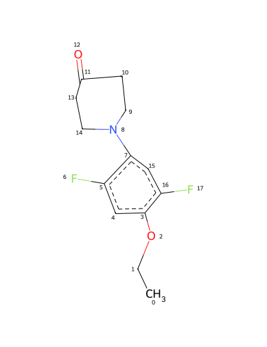 CCOc1cc(F)c(N2CCC(=O)CC2)cc1F